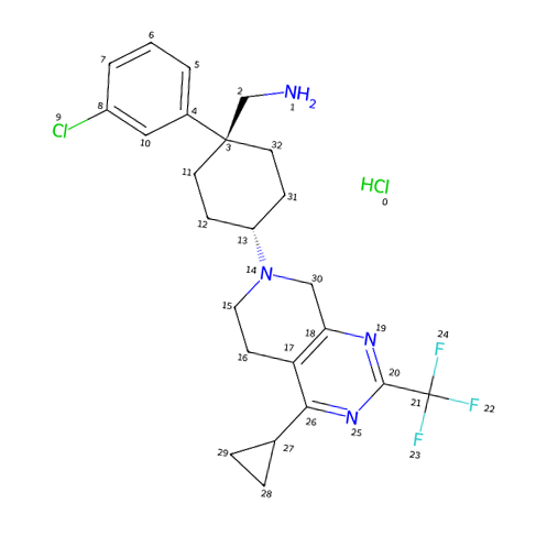 Cl.NC[C@]1(c2cccc(Cl)c2)CC[C@@H](N2CCc3c(nc(C(F)(F)F)nc3C3CC3)C2)CC1